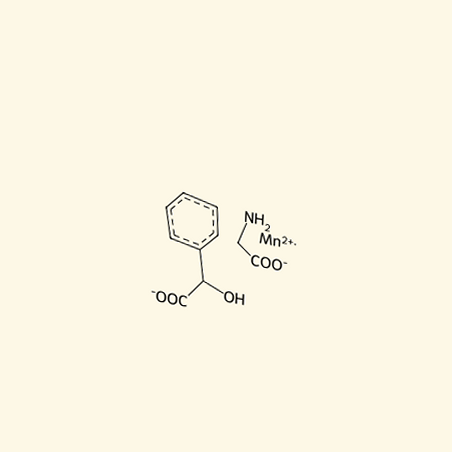 NCC(=O)[O-].O=C([O-])C(O)c1ccccc1.[Mn+2]